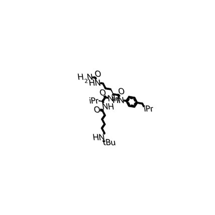 CC(C)Cc1ccc(NC(=O)[C@H](CCCNC(N)=O)NC(=O)[C@@H](NC(=O)CCCCCNC(C)(C)C)C(C)C)cc1